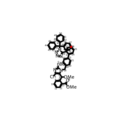 CCCCc1nc(Cl)c(C(OC)c2ccccc2C(=O)OC)n1Cc1ccc(-c2ccccc2-c2nnnn2C(c2ccccc2)(c2ccccc2)c2ccccc2)cc1